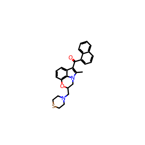 Cc1c(C(=O)c2cccc3ccccc23)c2cccc3c2n1CC(CN1CCSCC1)O3